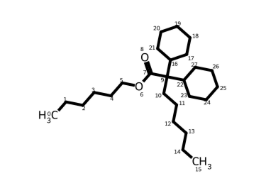 CCCCCCOC(=O)C(CCCCCC)(C1CCCCC1)C1CCCCC1